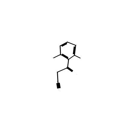 N#CCC(=O)c1c(Cl)cccc1Cl